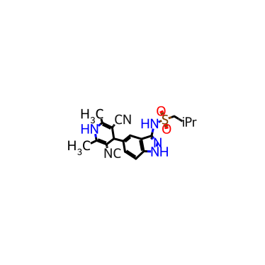 [C-]#[N+]C1=C(C)NC(C)=C(C#N)C1c1ccc2[nH]nc(NS(=O)(=O)CC(C)C)c2c1